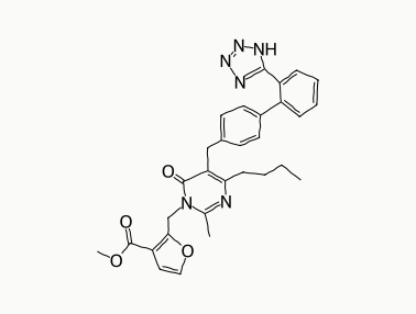 CCCCc1nc(C)n(Cc2occc2C(=O)OC)c(=O)c1Cc1ccc(-c2ccccc2-c2nnn[nH]2)cc1